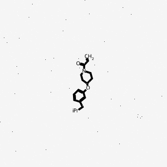 C=CC(=O)N1CCC(Oc2cccc(CC(C)C)c2)CC1